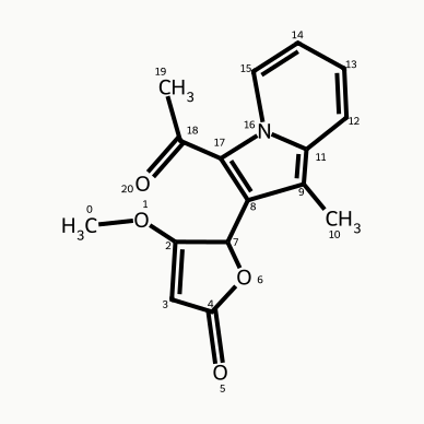 COC1=CC(=O)OC1c1c(C)c2ccccn2c1C(C)=O